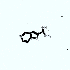 N=C(N)c1cc2cnccc2o1